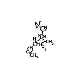 CC(C)n1nc(-c2cncc(C(F)(F)F)c2)nc1C1[C@H]2CC(N3CCO[C@H](C)C3)C[C@@H]12